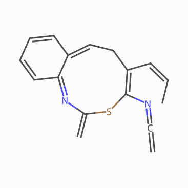 C=C=N/C1=C(\C=C/C)C/C=c2/cccc/c2=N/C(=C)S1